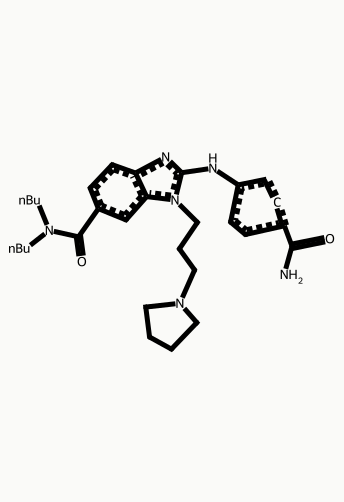 CCCCN(CCCC)C(=O)c1ccc2nc(Nc3ccc(C(N)=O)cc3)n(CCCN3CCCC3)c2c1